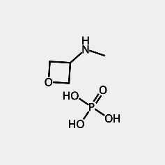 CNC1COC1.O=P(O)(O)O